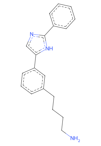 NCCCCc1cccc(-c2cnc(-c3ccccc3)[nH]2)c1